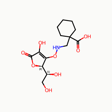 O=C1O[C@H]([C@@H](O)CO)C(ONCC2(C(=O)O)CCCCC2)=C1O